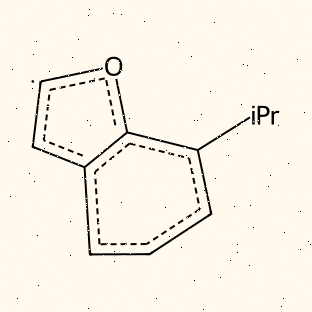 CC(C)c1cccc2c[c]oc12